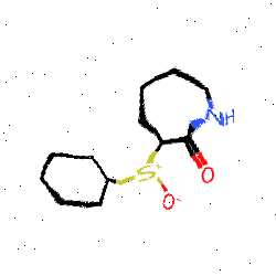 O=C1NCCCCC1[S+]([O-])C1CCCCC1